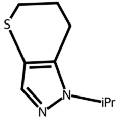 CC(C)n1ncc2c1CCCS2